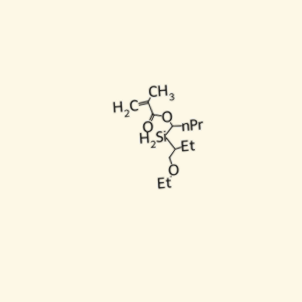 C=C(C)C(=O)OC(CCC)[SiH2]C(CC)COCC